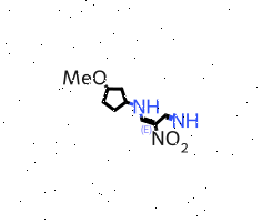 COC1CCC(N/C=C(\C=N)[N+](=O)[O-])C1